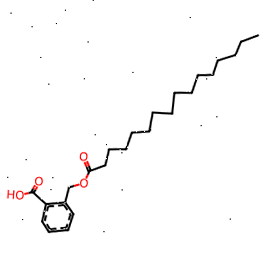 CCCCCCCCCCCCCCCC(=O)OCc1ccccc1C(=O)O